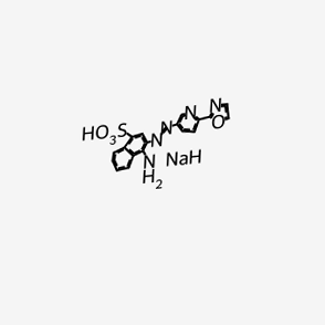 Nc1c(/N=N/c2ccc(-c3ncco3)nc2)cc(S(=O)(=O)O)c2ccccc12.[NaH]